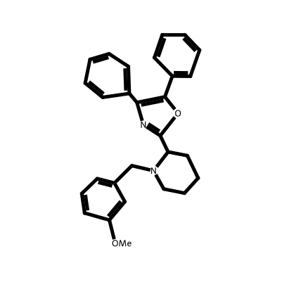 COc1cccc(CN2CCCCC2c2nc(-c3ccccc3)c(-c3ccccc3)o2)c1